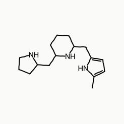 Cc1ccc(CC2CCCC(CC3CCCN3)N2)[nH]1